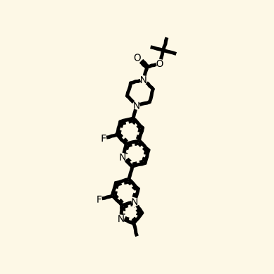 Cc1cn2cc(-c3ccc4cc(N5CCN(C(=O)OC(C)(C)C)CC5)cc(F)c4n3)cc(F)c2n1